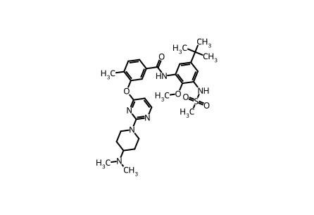 COc1c(NC(=O)c2ccc(C)c(Oc3ccnc(N4CCC(N(C)C)CC4)n3)c2)cc(C(C)(C)C)cc1NS(C)(=O)=O